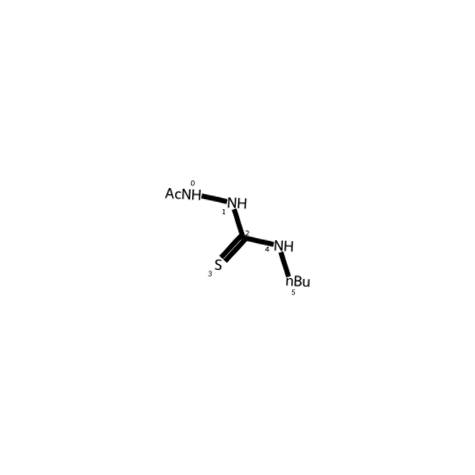 [CH2]C(=O)NNC(=S)NCCCC